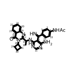 CC(=O)Nc1ccc(C(=N)c2c(N)ncnc2NC(C)c2nc3ccccc3c(=O)n2C2CCC2)cc1